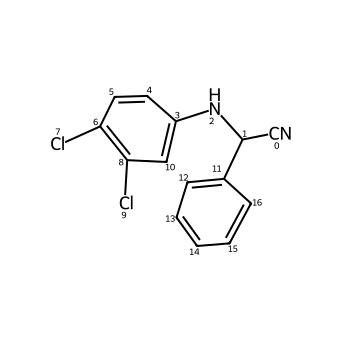 N#CC(Nc1ccc(Cl)c(Cl)c1)c1ccccc1